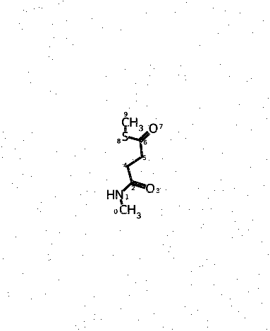 CNC(=O)CCC(=O)SC